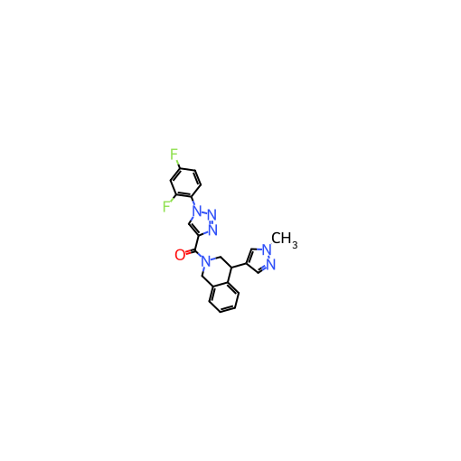 Cn1cc(C2CN(C(=O)c3cn(-c4ccc(F)cc4F)nn3)Cc3ccccc32)cn1